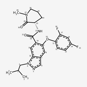 CC(C)Cn1ncc2cc(Oc3ccc(F)cc3F)c(C(=O)N[C@H]3CCCN(C)C3=O)cc21